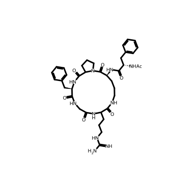 CC(=O)N[C@@H](Cc1ccccc1)C(=O)N[C@H]1CCCNC(=O)C(CCCNC(=N)N)NC(=O)CNC(=O)[C@@H](Cc2ccccc2)NC(=O)C2CCCN2C1=O